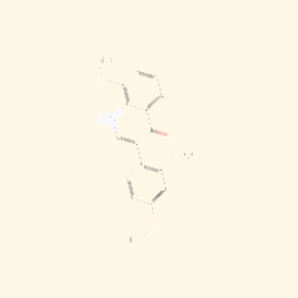 CCCOc1ccc(F)c2c(=O)c(-c3ccc(OC(C)C)cc3OC)c[nH]c12